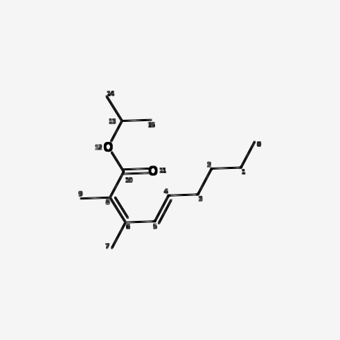 CCCCC=CC(C)=C(C)C(=O)OC(C)C